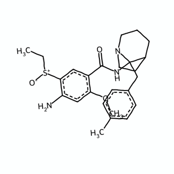 CC[S+]([O-])c1cc(C(=O)NC2(Cc3ccc(C)cc3)C3CCCN2CC3)c(OC)cc1N